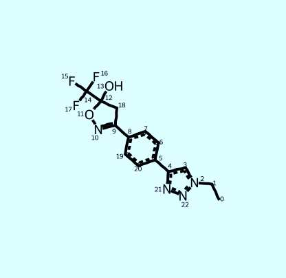 CCn1cc(-c2ccc(C3=NOC(O)(C(F)(F)F)C3)cc2)nn1